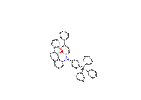 c1ccc(-c2ccc(N(c3ccc([Si](c4ccccc4)(c4ccccc4)c4ccccc4)cc3)c3cccc4ccc5c6ccccc6oc5c34)cc2)cc1